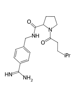 CC(C)CCC(=O)N1CCCC1C(=O)NCc1ccc(C(=N)N)cc1